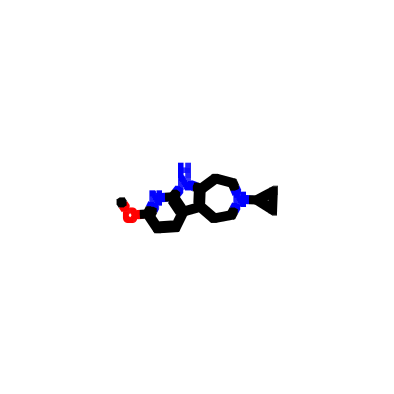 COc1ccc2c3c([nH]c2n1)CCN(C1CC1)CC3